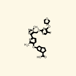 Cc1nc(-c2nnn(C)c2COc2ncc(F)c(O[C@@H]3CCOC3)n2)ccc1OC1CC2CCC(C(=O)O)C2C1